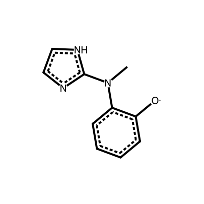 CN(c1ncc[nH]1)c1ccccc1[O]